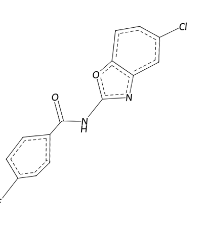 O=C(Nc1nc2cc(Cl)ccc2o1)c1ccc(F)cc1